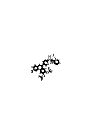 CC(C)(Nc1ccc(C(Cc2cc[n+]([O-])cc2)c2ccc(OC(F)F)c(OC(F)F)c2)cn1)c1ccccn1